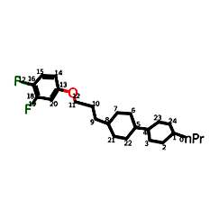 CCCC1CCC(C2CCC(CCCOc3ccc(F)c(F)c3)CC2)CC1